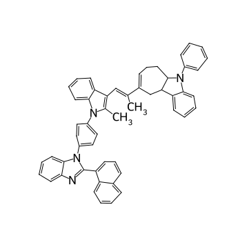 C/C(=C\c1c(C)n(-c2ccc(-n3c(-c4cccc5ccccc45)nc4ccccc43)cc2)c2ccccc12)C1=CCCC2C(C1)c1ccccc1N2c1ccccc1